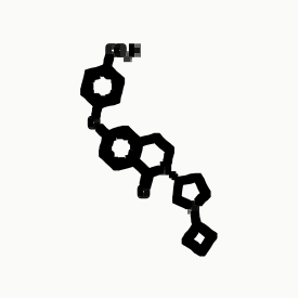 O=C(O)c1ccc(Oc2ccc3c(c2)CCN([C@@H]2CCN(C4CCC4)C2)C3=O)cc1